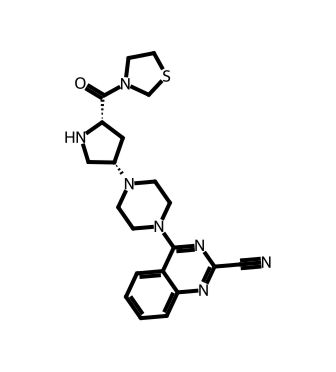 N#Cc1nc(N2CCN([C@@H]3CN[C@H](C(=O)N4CCSC4)C3)CC2)c2ccccc2n1